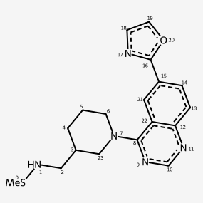 CSNCC1CCCN(c2ncnc3ccc(-c4ncco4)cc23)C1